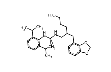 CCCCC(CNC(=O)Nc1c(C(C)C)cccc1C(C)C)Cc1cccc2c1OCO2